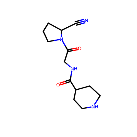 N#CC1CCCN1C(=O)CNC(=O)C1CCNCC1